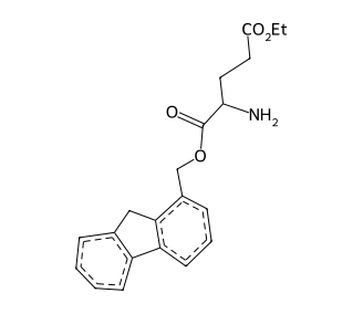 CCOC(=O)CCC(N)C(=O)OCc1cccc2c1Cc1ccccc1-2